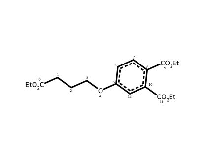 CCOC(=O)CCCOc1ccc(C(=O)OCC)c(C(=O)OCC)c1